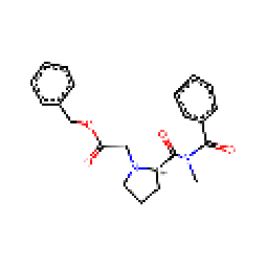 CN(C(=O)c1ccccc1)C(=O)[C@H]1CCCN1CC(=O)OCc1ccccc1